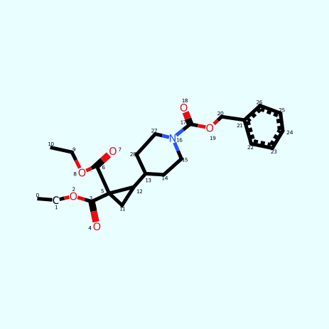 CCOC(=O)C1(C(=O)OCC)CC1C1CCN(C(=O)OCc2ccccc2)CC1